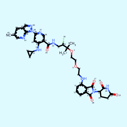 CC(C)(OCCOCCNc1cccc2c1C(=O)N(C1CCC(=O)NC1=O)C2=O)C(F)CNC(=O)c1cnc(-n2ncc3cc(C#N)cnc32)cc1NC1CC1